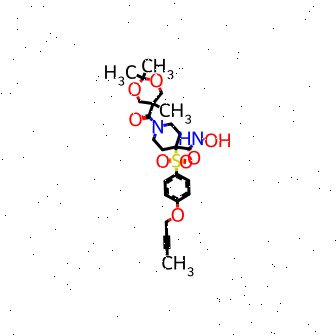 CC#CCOc1ccc(S(=O)(=O)C2(C(=O)NO)CCN(C(=O)C3(C)COC(C)(C)OC3)CC2)cc1